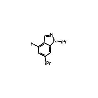 CC(C)c1cc(F)c2cnn(C(C)C)c2c1